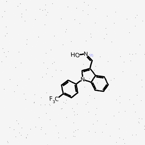 O/N=C\c1cn(-c2ccc(C(F)(F)F)cc2)c2ccccc12